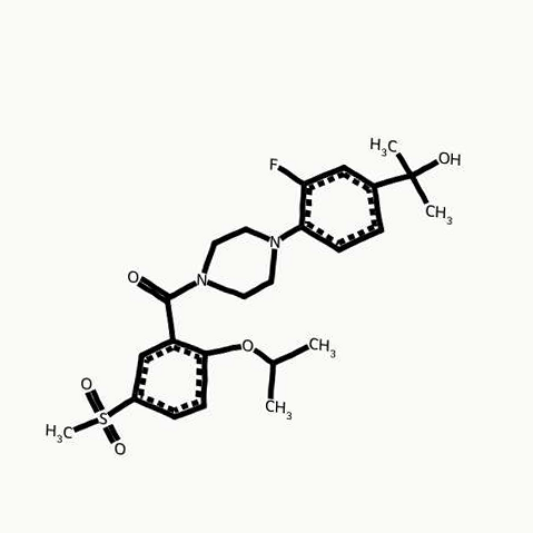 CC(C)Oc1ccc(S(C)(=O)=O)cc1C(=O)N1CCN(c2ccc(C(C)(C)O)cc2F)CC1